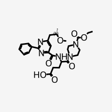 CCOC(=O)N1CCN(C(=O)C(CCC(=O)O)NC(=O)c2cc(C[C@H](C)OC)nc(-c3ccccc3)n2)CC1